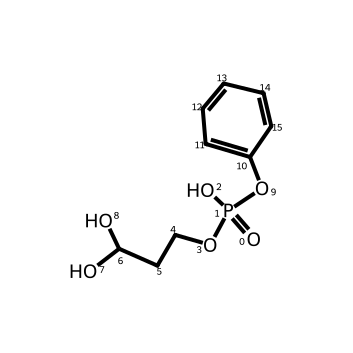 O=P(O)(OCCC(O)O)Oc1ccccc1